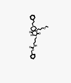 CCOCCCN1C(=O)[C@H](CCCCNC(=O)OCc2ccccc2)NC(=O)C12CCN(CCc1ccccc1)CC2